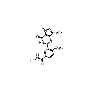 CCCc1nn(C)c2c(=O)[nH]c(-c3cc(C(=O)NO)ccc3OCC)nc12